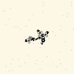 COc1ccc(C[C@@H]2[C@H](OC(=O)NCCN3CC(O)(CNC(=O)OC(C)(C)C)C3)[C@@H](OC(=O)OC(C)(C)C)CN2C(=O)OC(C)(C)C)cc1